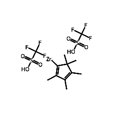 CC1=C(C)C(C)(C)[C]([Zr])=C1C.O=S(=O)(O)C(F)(F)F.O=S(=O)(O)C(F)(F)F